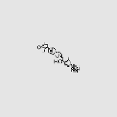 CC1=C(N2CCC3(CCN(CC(O)c4ccc(-n5cnnn5)cc4C)CC3)CC2)CCC1=O